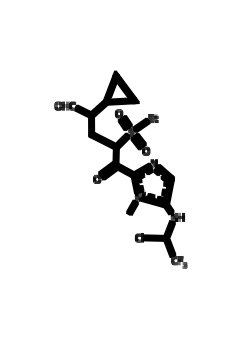 CCS(=O)(=O)C(CC(C=O)C1CC1)C(=O)c1ncc(NC(Cl)C(F)(F)F)n1C